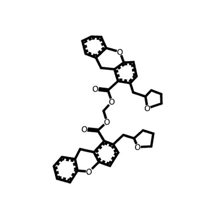 O=C(OCOC(=O)c1c(CC2CCCO2)ccc2c1Cc1ccccc1O2)c1c(CC2CCCO2)ccc2c1Cc1ccccc1O2